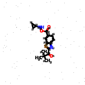 CC(C)(C)C(=O)c1nc2ccc(C(=O)ONC3CC3)cc2s1